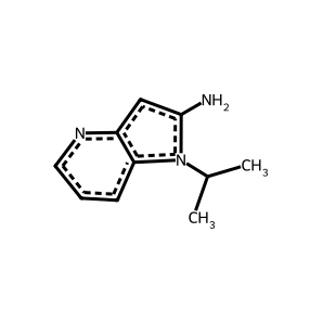 CC(C)n1c(N)cc2ncccc21